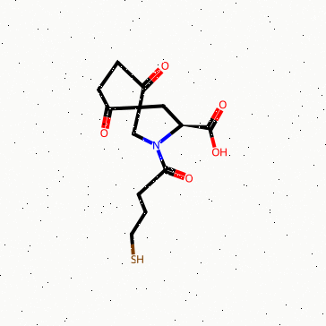 O=C(O)[C@@H]1CC2(CN1C(=O)CCCS)C(=O)CCC2=O